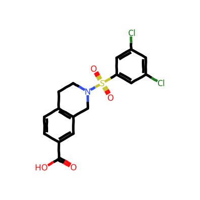 O=C(O)c1ccc2c(c1)CN(S(=O)(=O)c1cc(Cl)cc(Cl)c1)CC2